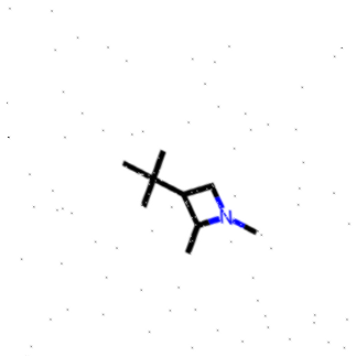 CC1C(C(C)(C)C)CN1C